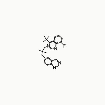 CC(C)(Cc1ccc2ncncc2c1)C[n+]1cnc2c(F)cccc2c1C(C)(C)C